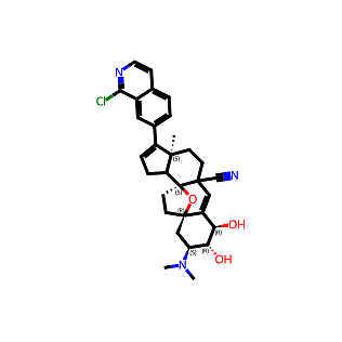 CN(C)[C@H]1C[C@@]23CC[C@]4(O2)C2CC=C(c5ccc6ccnc(Cl)c6c5)[C@@]2(C)CCC4(C#N)C=C3[C@@H](O)[C@@H]1O